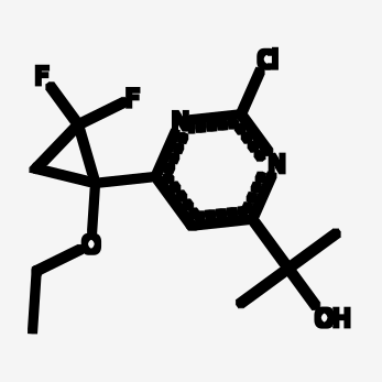 CCOC1(c2cc(C(C)(C)O)nc(Cl)n2)CC1(F)F